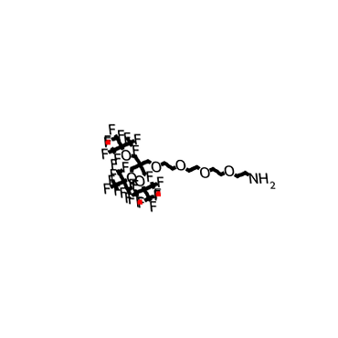 NCCOCCOCCOCCOCC(COC(C(F)(F)F)(C(F)(F)F)C(F)(F)F)(COC(C(F)(F)F)(C(F)(F)F)C(F)(F)F)COC(C(F)(F)F)(C(F)(F)F)C(F)(F)F